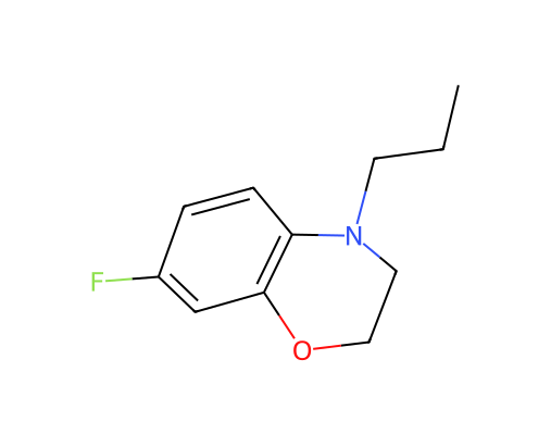 CCCN1CCOc2cc(F)ccc21